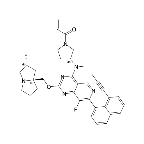 C=CC(=O)N1CC[C@@H](N(C)c2nc(OC[C@@]34CCCN3C[C@H](F)C4)nc3c(F)c(-c4cccc5cccc(C#CC)c45)ncc23)C1